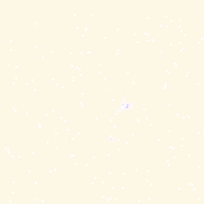 CCOC(=O)/C(F)=C\CNC(=O)OC(C)(C)C